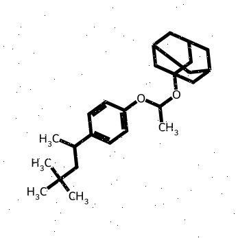 CC(Oc1ccc(C(C)CC(C)(C)C)cc1)OC12CC3CC(CC(C3)C1)C2